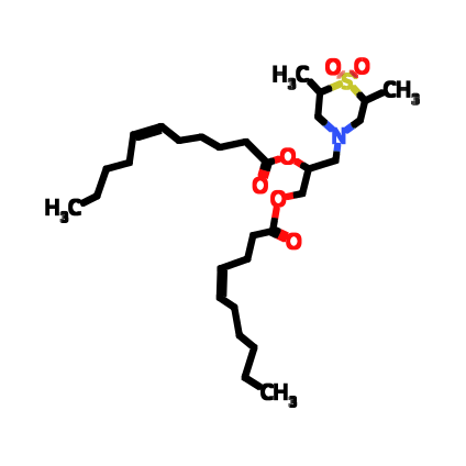 CCCC/C=C\CCCCC(=O)OC(COC(=O)CC/C=C\CCCCC)CN1CC(C)S(=O)(=O)C(C)C1